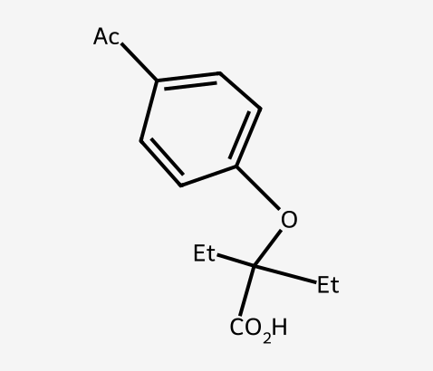 CCC(CC)(Oc1ccc(C(C)=O)cc1)C(=O)O